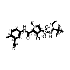 CC[C@H](NS(=O)(=O)c1cn(C)c(C(=O)Nc2ccc(F)c(C#N)c2)c1Cl)C(F)(F)F